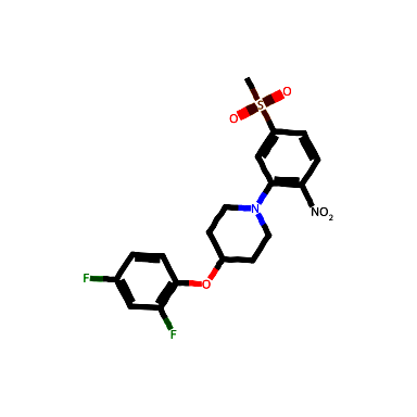 CS(=O)(=O)c1ccc([N+](=O)[O-])c(N2CCC(Oc3ccc(F)cc3F)CC2)c1